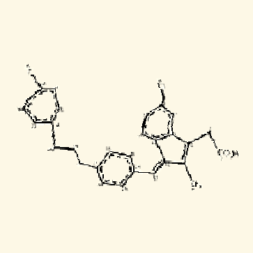 CC1=C(CC(=O)O)c2cc(Cl)ccc2/C1=C\c1ccc(CCCc2ccc(F)cc2)cc1